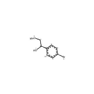 COCC(O)c1ccc(Br)cn1